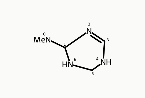 CNC1N=CNCN1